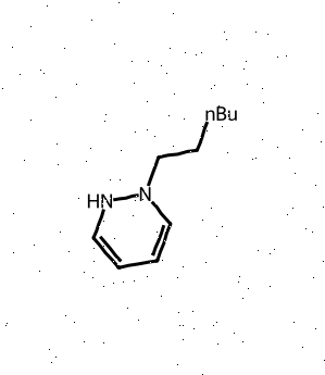 CCCCCCN1C=CC=CN1